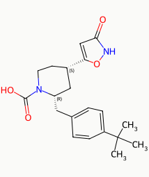 CC(C)(C)c1ccc(C[C@H]2C[C@@H](c3cc(=O)[nH]o3)CCN2C(=O)O)cc1